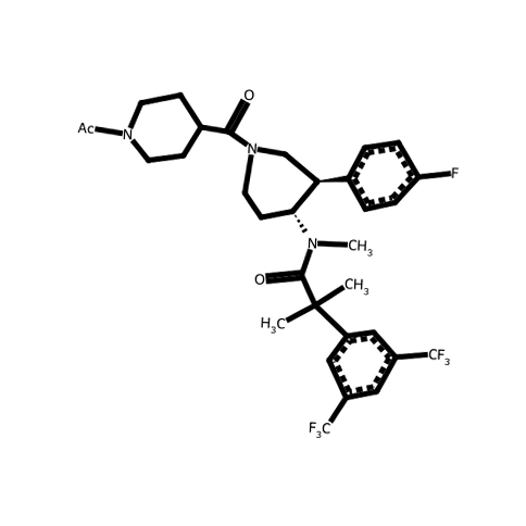 CC(=O)N1CCC(C(=O)N2CC[C@@H](N(C)C(=O)C(C)(C)c3cc(C(F)(F)F)cc(C(F)(F)F)c3)[C@H](c3ccc(F)cc3)C2)CC1